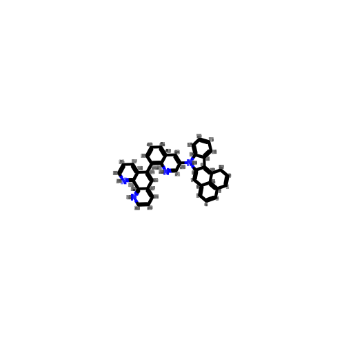 C1=Cc2cccc3cc4c(c(c23)C1)c1ccccc1n4-c1cnc2c(-c3cc4cccnc4c4ncccc34)cccc2c1